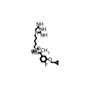 C[C@@H](NS(=O)(=O)CCCCCN1CC(=N)NC1=N)c1ccc(F)c(OCC2CC2)c1